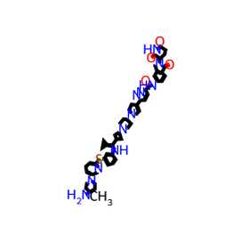 CC1(N)CCN(C2=CCC=C(Sc3cccc(NC(=C4CC4)C4CC(N5CCC(N6CC=C(c7ccc(C(=O)Nc8ccc9c(c8)CN(C8CCC(=O)NC8=O)C9=O)nn7)CC6)CC5)C4)c3)N=C2)CC1